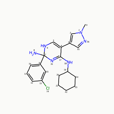 Cn1cc(C2=CNC(N)(c3cccc(Cl)c3)N=C2NC2CCCCC2)cn1